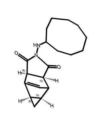 O=C1[C@@H]2C3C=CC([C@H]4C[C@@H]34)[C@@H]2C(=O)N1NC1CCCCCCCC1